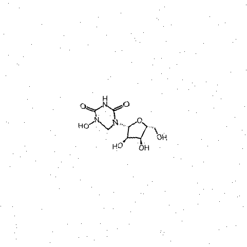 O=C1NC(=O)N([C@@H]2O[C@H](CO)[C@@H](O)[C@H]2O)CN1O